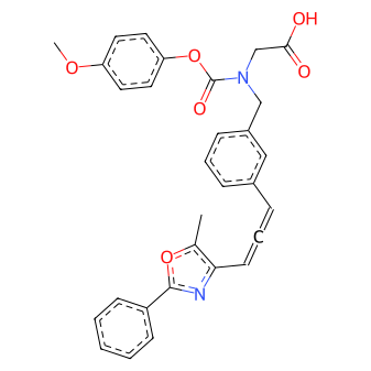 COc1ccc(OC(=O)N(CC(=O)O)Cc2cccc(C=C=Cc3nc(-c4ccccc4)oc3C)c2)cc1